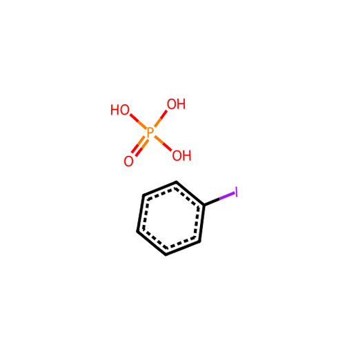 Ic1ccccc1.O=P(O)(O)O